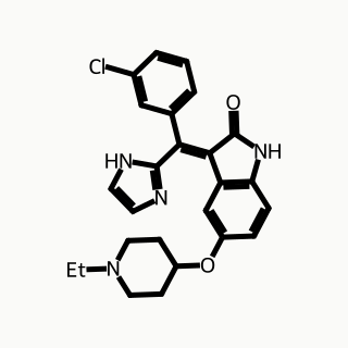 CCN1CCC(Oc2ccc3c(c2)C(=C(c2cccc(Cl)c2)c2ncc[nH]2)C(=O)N3)CC1